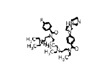 CCN(CC)CCN(CC)C(=O)c1ccc(-n2ccnc2)cc1.CCN(CC)CCN(CC)C(=O)c1ccc(F)cc1.c1c[nH]cn1